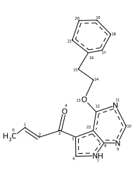 CC=CC(=O)c1c[nH]c2ncnc(OCCc3ccccc3)c12